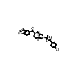 O=C(c1ccc2[nH]nnc2c1)N1CC[C@@H]2CN(c3nnc(-c4ccc(Cl)cc4)o3)C[C@H]2C1